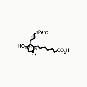 CCCCC/C=C/C[C@H]1[C@H](O)CC(=O)[C@@H]1CCCCCCC(=O)O